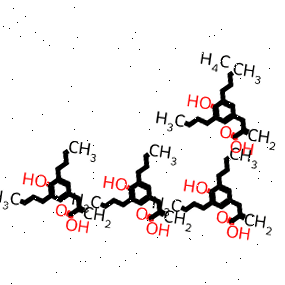 C.C=C(Cc1cc(CCCC)c(O)c(CCCC)c1)C(=O)O.C=C(Cc1cc(CCCC)c(O)c(CCCC)c1)C(=O)O.C=C(Cc1cc(CCCC)c(O)c(CCCC)c1)C(=O)O.C=C(Cc1cc(CCCC)c(O)c(CCCC)c1)C(=O)O